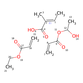 C/C=C(\C)C(=O)O.C=CC(=O)OC(C)O.C=CC(=O)OCC